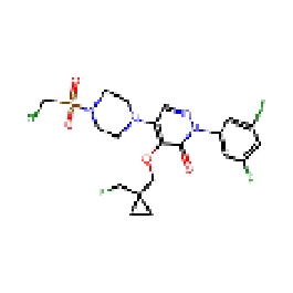 O=c1c(OCC2(CF)CC2)c(N2CCN(S(=O)(=O)CCl)CC2)cnn1-c1cc(F)cc(F)c1